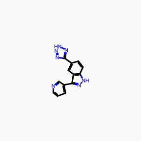 c1cncc(-c2n[nH]c3ccc(-c4nn[nH]n4)cc23)c1